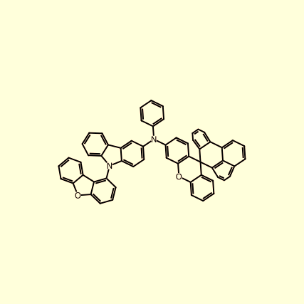 c1ccc(N(c2ccc3c(c2)Oc2ccccc2C32c3ccccc3-c3cccc4cccc2c34)c2ccc3c(c2)c2ccccc2n3-c2cccc3oc4ccccc4c23)cc1